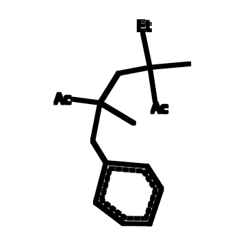 CCC(C)(CC(C)(Cc1ccccc1)C(C)=O)C(C)=O